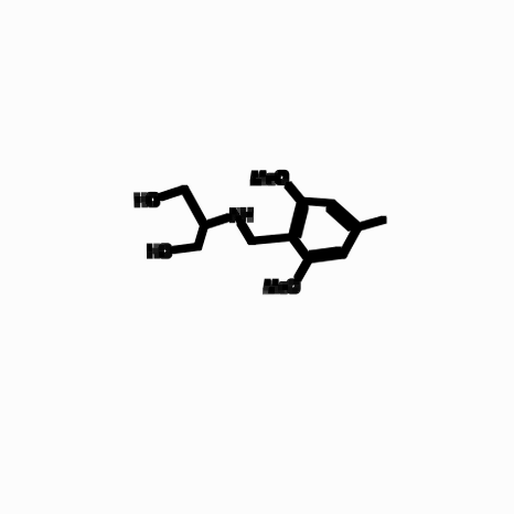 COc1cc(C)cc(OC)c1CNC(CO)CO